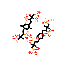 CC(C)(CP(=O)(O)O)C(Cc1ccc(CC(C(C)(C)CP(=O)(O)O)P(=O)(O)O)cc1)P(=O)(O)O.Cc1cc(CC(C(C)(C)CP(=O)(O)O)P(=O)(O)O)c(C)cc1CC(C(C)(C)CP(=O)(O)O)P(=O)(O)O